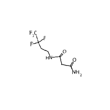 NC(=O)CC(=O)NCCC(F)(F)C(F)(F)F